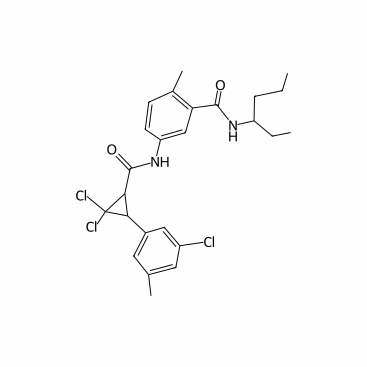 CCCC(CC)NC(=O)c1cc(NC(=O)C2C(c3cc(C)cc(Cl)c3)C2(Cl)Cl)ccc1C